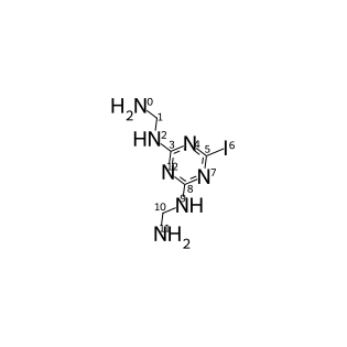 NCNc1nc(I)nc(NCN)n1